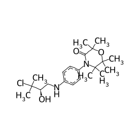 CC1(C)OC(C)(C)C(C)(C)N(c2ccc(NC[C@@H](O)C(C)(C)Cl)cc2)C1=O